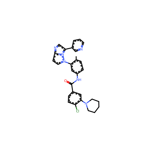 Cc1ccc(NC(=O)c2ccc(Cl)c(N3CCCCC3)c2)cc1-n1ccc2ncc(-c3cccnc3)n21